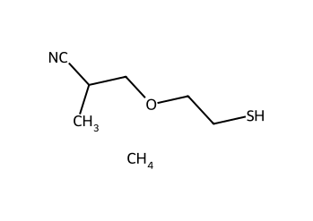 C.CC(C#N)COCCS